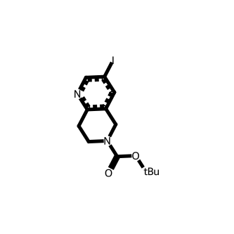 CC(C)(C)OC(=O)N1CCc2ncc(I)cc2C1